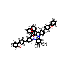 N#Cc1cc(-n2c3ccc(-c4ccc5c(c4)oc4ccccc45)cc3c3c4ccccc4ccc32)c(-n2c3ccc(-c4ccc5c(c4)oc4ccccc45)cc3c3c4ccccc4ccc32)cc1C#N